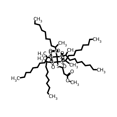 CCCCCCCCC(C)S(=O)(=O)C(SCCC(=O)OC)(C(S(=O)(=O)C(C)CCCCCCCC)(S(=O)(=O)C(C)CCCCCCCC)S(=O)(=O)C(C)CCCCCCCC)S(=O)(=O)C(C)CCCCCCCC